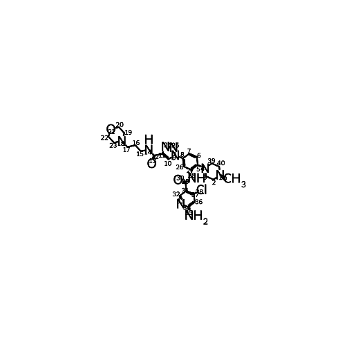 CN1CCN(c2ccc(-n3cc(C(=O)NCCCN4CCOCC4)nn3)cc2NC(=O)c2cnc(N)cc2Cl)CC1